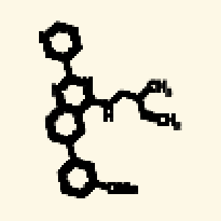 C=CC(C)CNc1nc(-c2cccnc2)nc2ccc(-c3cccc(OC)c3)cc12